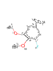 CCCCOc1cc(C(=O)O)cc(F)c1OCCCC